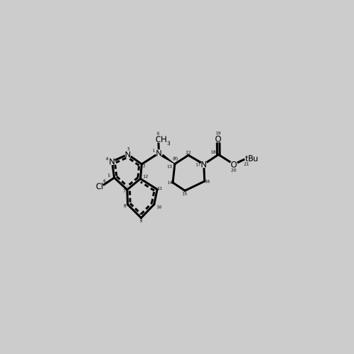 CN(c1nnc(Cl)c2ccccc12)[C@@H]1CCCN(C(=O)OC(C)(C)C)C1